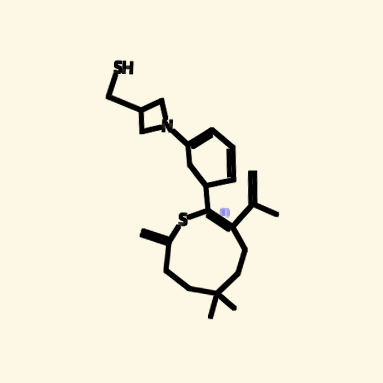 C=C1CCC(C)(C)CC/C(C(=C)C)=C(/C2C=CC=C(N3CC(CS)C3)C2)S1